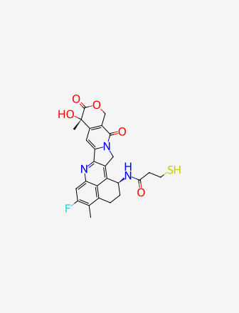 Cc1c(F)cc2nc3c(c4c2c1CC[C@@H]4NC(=O)CCS)Cn1c-3cc2c(c1=O)COC(=O)[C@@]2(C)O